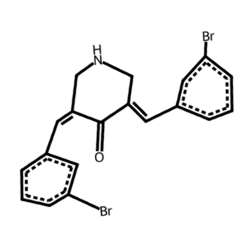 O=C1/C(=C\c2cccc(Br)c2)CNC/C1=C\c1cccc(Br)c1